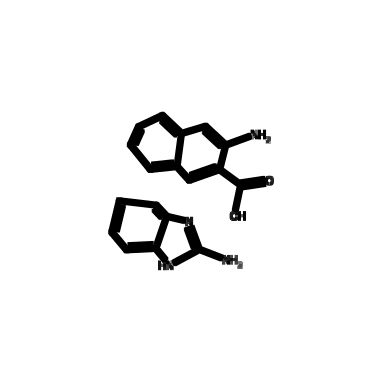 Nc1cc2ccccc2cc1C(=O)O.Nc1nc2ccccc2[nH]1